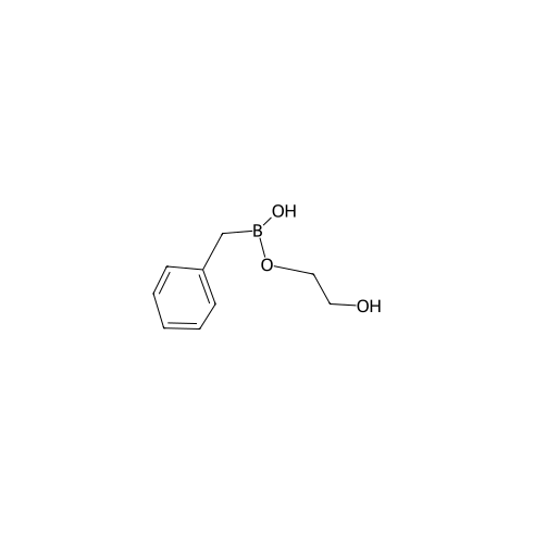 OCCOB(O)Cc1ccccc1